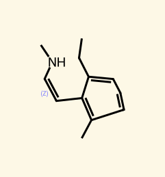 CCc1cccc(C)c1/C=C\NC